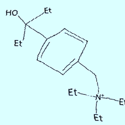 CCC(O)(CC)c1ccc(C[N+](CC)(CC)CC)cc1